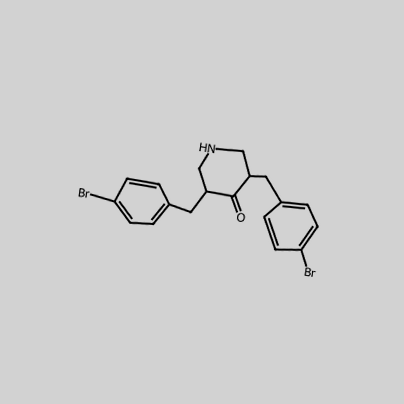 O=C1C(Cc2ccc(Br)cc2)CNCC1Cc1ccc(Br)cc1